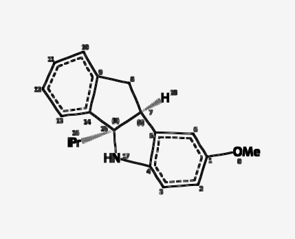 COc1ccc2c(c1)[C@@H]1Cc3ccccc3[C@]1(C(C)C)N2